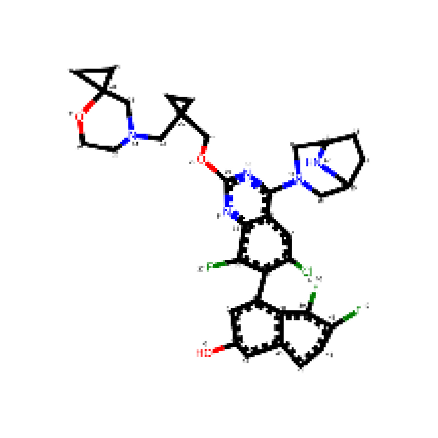 Oc1cc(-c2c(Cl)cc3c(N4CC5CCC(C4)N5)nc(OCC4(CN5CCOC6(CC6)C5)CC4)nc3c2F)c2c(F)c(F)ccc2c1